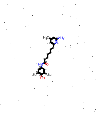 Cc1cc(N)nc(CCCCCCC(=O)Nc2cc(C(C)(C)C)c(O)c(C(C)(C)C)c2)c1